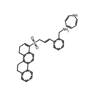 C1=CC=CNC=C1.NCc1ccccc1C=CCS(=O)(=O)C1=CCCc2c1ccc1c2CCc2ccccc2-1